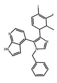 CC1C(F)=C(I)C=CC1c1ncn(Cc2ccccc2)c1-c1ccnc2[nH]ccc12